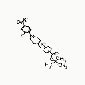 CC(C)(C)OC(=O)N1CCC(O)(CC2CCN(c3ccc([N+](=O)[O-])cc3F)CC2)CC1